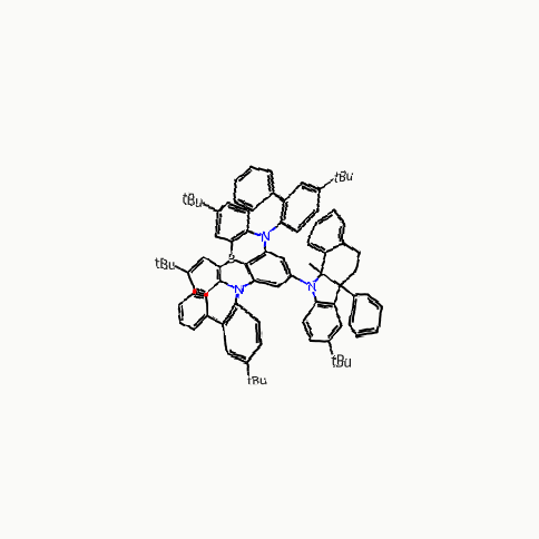 CC(C)(C)c1ccc2c(c1)B1c3cc(C(C)(C)C)ccc3N(c3ccc(C(C)(C)C)cc3-c3ccccc3)c3cc(N4c5ccc(C(C)(C)C)cc5C5(c6ccccc6)CCc6ccccc6C45C)cc(c31)N2c1ccc(C(C)(C)C)cc1-c1ccccc1